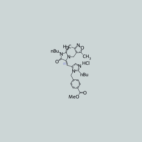 CCCCc1ncc(/C=C2/C(=O)N(CCCC)C(=O)N2Cc2c(C)noc2C)n1Cc1ccc(C(=O)OC)cc1.Cl